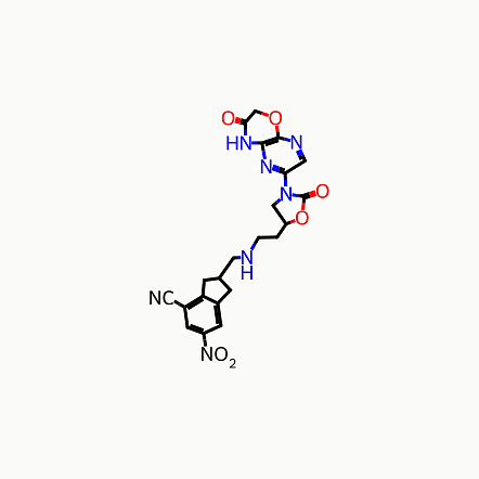 N#Cc1cc([N+](=O)[O-])cc2c1CC(CNCCC1CN(c3cnc4c(n3)NC(=O)CO4)C(=O)O1)C2